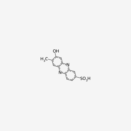 Cc1cc2nc3ccc(S(=O)(=O)O)cc3nc2cc1O